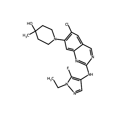 CCn1ncc(Nc2ncc3cc(Cl)c(N4CCC(C)(O)CC4)cc3n2)c1F